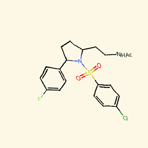 CC(=O)NCCC1CCC(c2ccc(F)cc2)N1S(=O)(=O)c1ccc(Cl)cc1